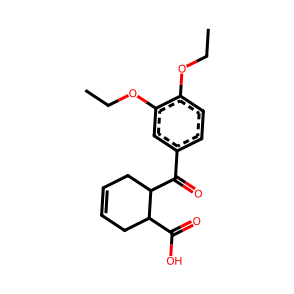 CCOc1ccc(C(=O)C2CC=CCC2C(=O)O)cc1OCC